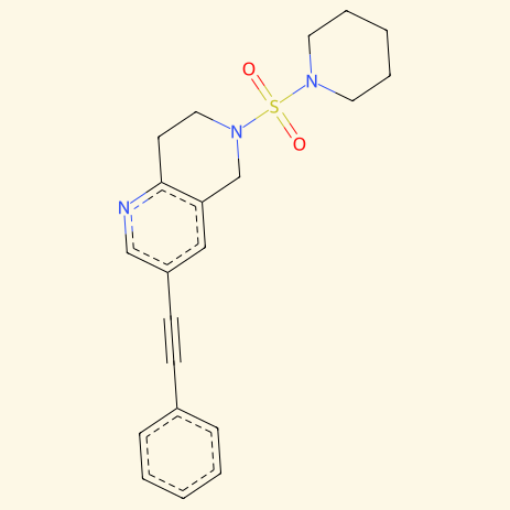 O=S(=O)(N1CCCCC1)N1CCc2ncc(C#Cc3ccccc3)cc2C1